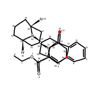 CCOC(=O)c1nc2ccccc2c(=O)n1[C@@H]1C[C@H]2CCC[C@@H](C1)N2[C@@H]1C[C@@H]2CCC[C@@H](C2)C1